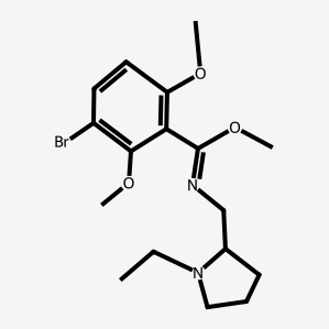 CCN1CCCC1C/N=C(\OC)c1c(OC)ccc(Br)c1OC